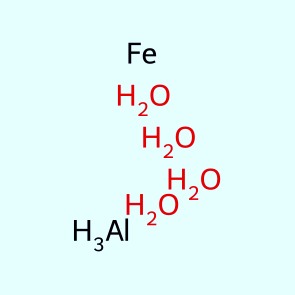 O.O.O.O.[AlH3].[Fe]